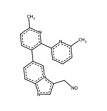 Cc1cccc(-c2nc(C)ccc2-c2ccc3ncc(CN=O)n3c2)n1